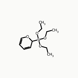 CCO[Si](OCC)(OCC)C1C=CC=CO1